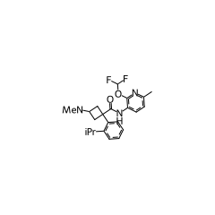 CNC1CC(C(=O)Nc2ccc(C)nc2OC(F)F)(c2ccccc2C(C)C)C1